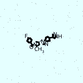 C[C@@H]1C[C@@H](Cn2cnc3cc(-c4cn[nH]c4)ccc32)CN1C(=O)c1ccc(F)cc1